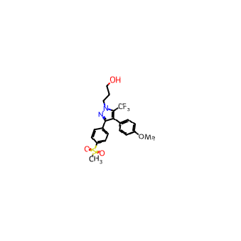 COc1ccc(-c2c(-c3ccc(S(C)(=O)=O)cc3)nn(CCCO)c2C(F)(F)F)cc1